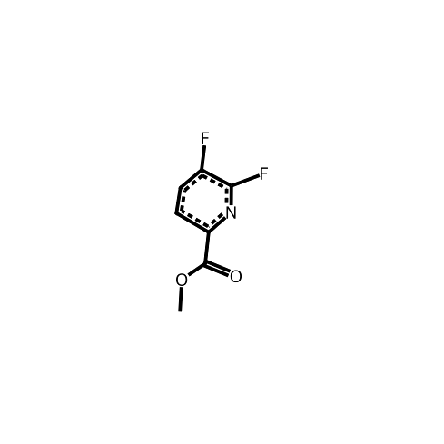 COC(=O)c1ccc(F)c(F)n1